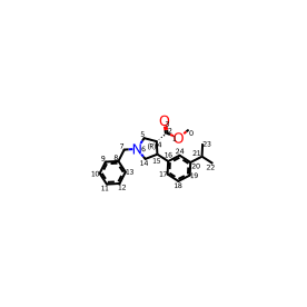 COC(=O)[C@H]1CN(Cc2ccccc2)CC1c1cccc(C(C)C)c1